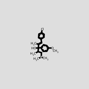 COc1ccc(C(O)(C(C)=Cc2ccc(Cl)cc2)C(C)CN(C)C)cc1